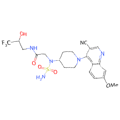 COc1ccc2c(N3CCC(N(CC(=O)NCC(O)C(F)(F)F)S(N)(=O)=O)CC3)c(C#N)cnc2c1